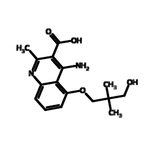 Cc1nc2cccc(OCC(C)(C)CO)c2c(N)c1C(=O)O